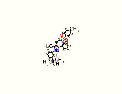 Cc1ccc(S(=O)(=O)N2CCc3c(nn(-c4cccc(C(C)(C)C)c4)c3C)-c3cccnc32)cc1